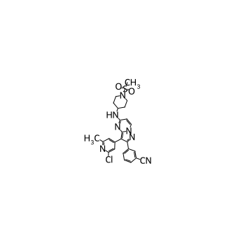 Cc1cc(-c2c(-c3cccc(C#N)c3)nn3ccc(NC4CCN(S(C)(=O)=O)CC4)nc23)cc(Cl)n1